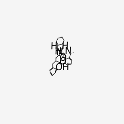 C[C@@H](N)c1ccccc1.O=C(O)[C@H](CC(=O)N1C[C@H]2CCCC[C@H]2C1)Cc1ccccc1